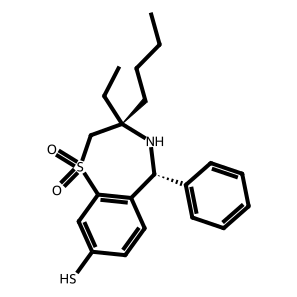 CCCC[C@]1(CC)CS(=O)(=O)c2cc(S)ccc2[C@@H](c2ccccc2)N1